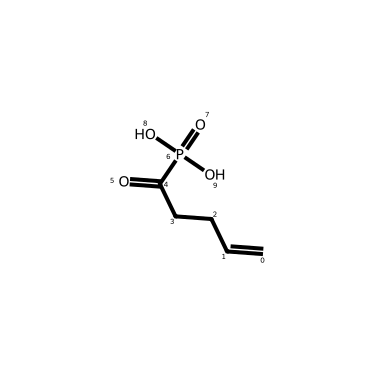 C=CCCC(=O)P(=O)(O)O